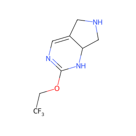 FC(F)(F)COC1=NC=C2CNCC2N1